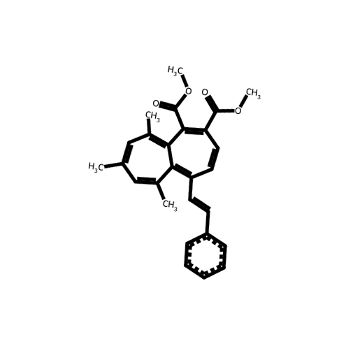 COC(=O)C1=C(C(=O)OC)C2=C(C)C=C(C)C=C(C)C2=C(C=Cc2ccccc2)C=C1